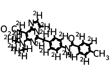 [2H]c1nc2c(C([2H])([2H])C(=O)O)c(N(C([2H])([2H])[2H])C([2H])([2H])[2H])nc(C([2H])([2H])c3c([2H])c([2H])c(N([2H])C(=O)c4c([2H])c([2H])c(C)c([2H])c4[2H])c([2H])c3[2H])n2c1[2H]